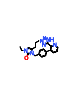 CCCc1cn(CC)c(=O)n1Cc1ccc(-c2cccnc2-c2nnn[nH]2)cc1